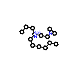 C1=C(c2cccc(-c3cccc(-c4ccccc4)c3)c2)NC(c2ccc(-c3cccc(-n4c5ccccc5c5ccccc54)c3)cc2)N=C1c1cccc(-c2cccc(-c3ccc(-c4cccc(-c5cccc(-c6ccccc6)c5)c4)cc3)c2)c1